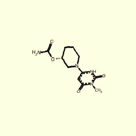 Cn1c(=O)cc(N2CCC[C@@H](OC(N)=O)C2)[nH]c1=O